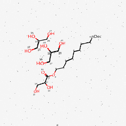 CCCCCCCCCCCCCCCCCCOC(=O)C(O)CO.OCC(O)CO.OCC(O)CO